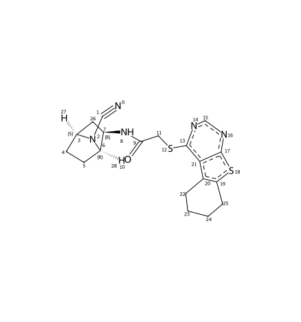 N#CN1[C@H]2CC[C@@H]1[C@H](NC(=O)CSc1ncnc3sc4c(c13)CCCC4)C2